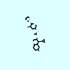 O=C(Nc1cnc(-n2nccn2)c(Cl)c1)Nc1cnc2ccc(F)cc2c1C1CC1